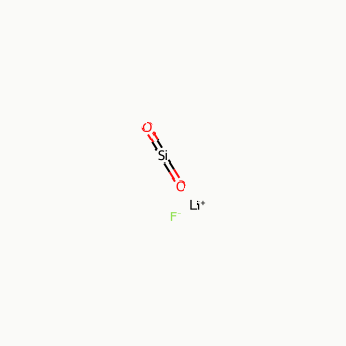 O=[Si]=O.[F-].[Li+]